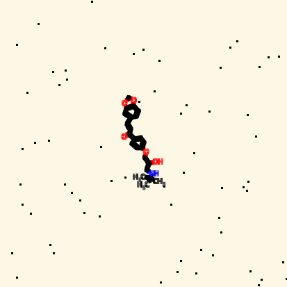 CC(C)(C)NCC(O)COc1ccc(C(=O)/C=C/c2ccc3c(c2)OCO3)cc1